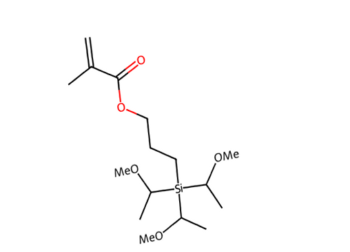 C=C(C)C(=O)OCCC[Si](C(C)OC)(C(C)OC)C(C)OC